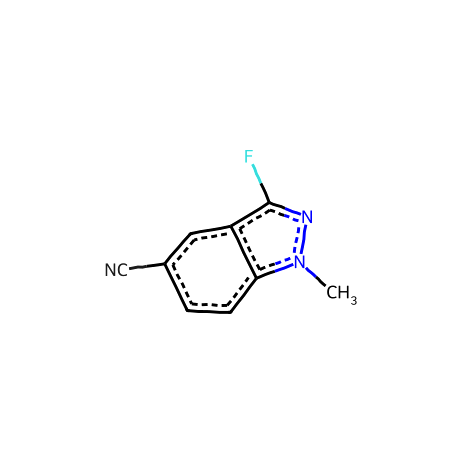 Cn1nc(F)c2cc(C#N)ccc21